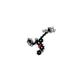 N=C(N)NCCCCCCc1ccc2c(c1)C(=O)N(CCC(=O)OC(=O)C(F)(F)F)CC(=O)N2Cc1ccc(Oc2ccccc2)cc1